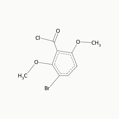 COc1ccc(Br)c(OC)c1C(=O)Cl